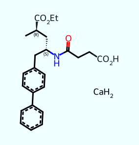 CCOC(=O)[C@H](C)C[C@@H](Cc1ccc(-c2ccccc2)cc1)NC(=O)CCC(=O)O.[CaH2]